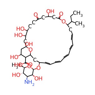 CCC(C)C1C/C=C/C=C/C=C/C=C/C=C/C(O[C@@H]2O[C@H](C)[C@@H](O)[C@H](N)[C@@H]2O)CC2OC(O)(CC(O)C(O)CCC(=O)CC(O)CC(=O)O1)CC(O)C2C(=O)O